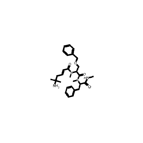 CNC(=O)C(Cc1ccccc1)N(C)C(=O)C(COCc1ccccc1)N(C)C(=O)/C=C/CC(C)(C)N